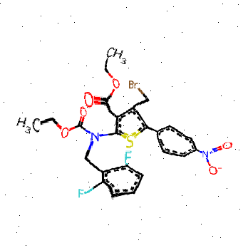 CCOC(=O)c1c(N(Cc2c(F)cccc2F)C(=O)OCC)sc(-c2ccc([N+](=O)[O-])cc2)c1CBr